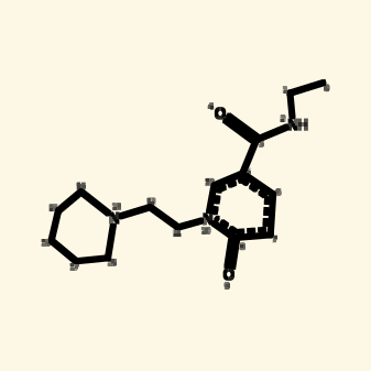 CCNC(=O)c1ccc(=O)n(CCN2CCCCC2)c1